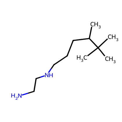 CC(CCCNCCN)C(C)(C)C